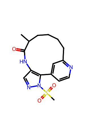 CC1CCCCc2cc(ccn2)-c2c(cnn2S(C)(=O)=O)NC1=O